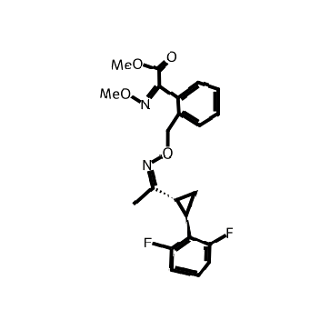 CON=C(C(=O)OC)c1ccccc1CON=C(C)[C@@H]1C[C@H]1c1c(F)cccc1F